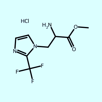 COC(=O)C(N)Cn1ccnc1C(F)(F)F.Cl